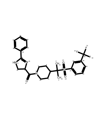 CC(C)(C1CCN(C(=O)C2CNC(c3ccccc3)=N2)CC1)S(=O)(=O)c1cccc(C(F)(F)F)c1